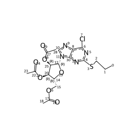 CCCSc1nc(Cl)c2ncn([C@@H]3O[C@H](COC(C)=O)[C@@H](OC(C)=O)[C@H]3OC(C)=O)c2n1